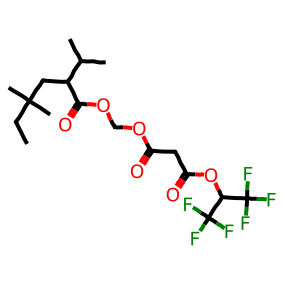 CCC(C)(C)CC(C(=O)OCOC(=O)CC(=O)OC(C(F)(F)F)C(F)(F)F)C(C)C